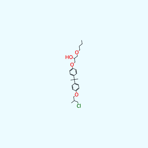 CCCCOCC(O)COc1ccc(C(C)(C)c2ccc(OCC(C)CCl)cc2)cc1